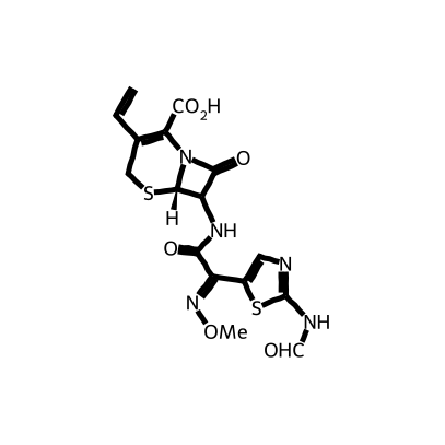 C=CC1=C(C(=O)O)N2C(=O)C(NC(=O)/C(=N/OC)c3cnc(NC=O)s3)[C@@H]2SC1